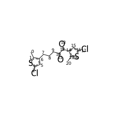 Cc1sc(Cl)cc1CCCC(=O)C(=O)c1cc(Cl)sc1C